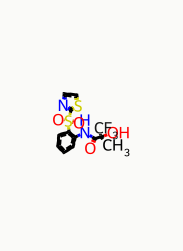 CC(O)(C(=O)Nc1ccccc1S(=O)(=O)c1nccs1)C(F)(F)F